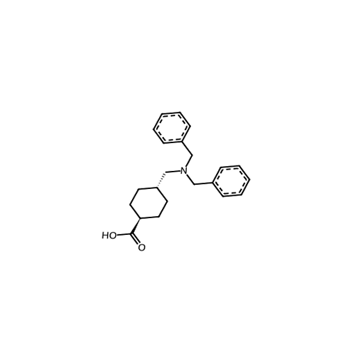 O=C(O)[C@H]1CC[C@H](CN(Cc2ccccc2)Cc2ccccc2)CC1